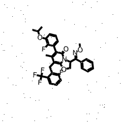 CON=C(c1ccccc1)C1COc2c(Cc3c(F)cccc3C(F)(F)F)c(C)c(-c3cccc(OC(C)C)c3F)c(=O)n21